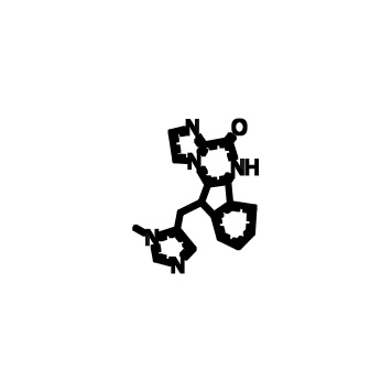 Cn1cncc1CC1c2ccccc2-c2[nH]c(=O)c3nccn3c21